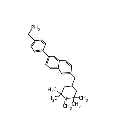 CN1C(C)(C)CC(Cc2ccc3cc(-c4ccc(CP)cc4)ccc3c2)CC1(C)C